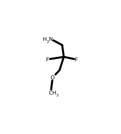 COCC(F)(F)CN